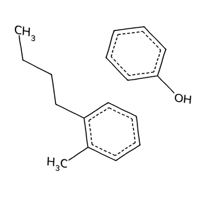 CCCCc1ccccc1C.Oc1ccccc1